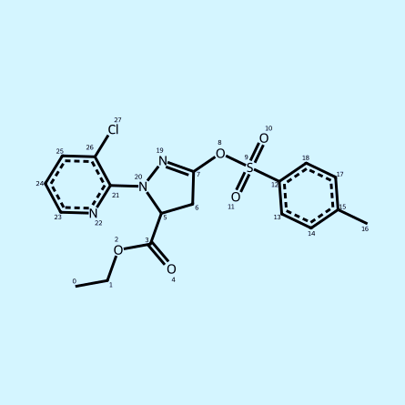 CCOC(=O)C1CC(OS(=O)(=O)c2ccc(C)cc2)=NN1c1ncccc1Cl